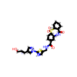 O=C(NCc1cnc(-n2cc(/C=C/CO)cn2)s1)c1ccc2c(c1)NC(=O)c1ccccc1S2(=O)=O